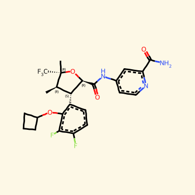 C[C@@H]1[C@@H](c2ccc(F)c(F)c2OC2CCC2)[C@H](C(=O)Nc2ccnc(C(N)=O)c2)O[C@@]1(C)C(F)(F)F